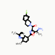 COc1ccc(-c2nc(C(=O)N3CCc4ccc(F)cc4C3)c([C@H](C)N)o2)c2ccc(C(F)(F)F)nc12